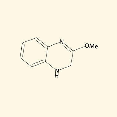 COC1=Nc2ccccc2NC1